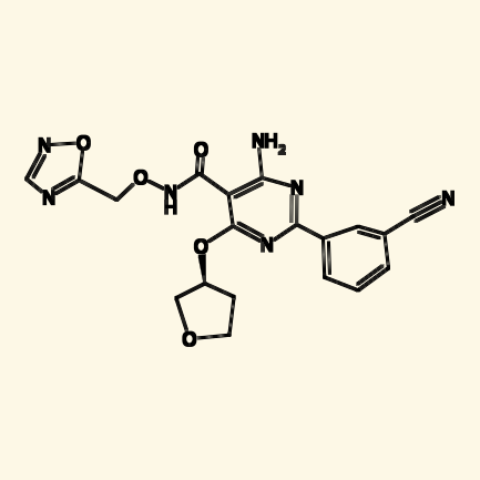 N#Cc1cccc(-c2nc(N)c(C(=O)NOCc3ncno3)c(O[C@H]3CCOC3)n2)c1